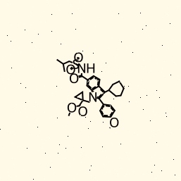 COC(=O)C1(Cn2c(-c3ccc(OC)cc3)c(C3CCCCC3)c3ccc(C(=O)NS(=O)(=O)CC(C)C)cc32)CC1